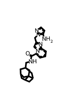 Nc1ccnn1Cc1cn2c(C(=O)NCC34CC5CC6CC(C3)C6(C5)C4)cccc2n1